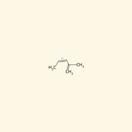 [CH2]/C=C\C(=C)C